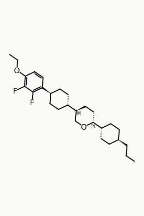 CCC[C@H]1CC[C@H]([C@H]2CC[C@H]([C@H]3CC[C@H](c4ccc(OCC)c(F)c4F)CC3)CO2)CC1